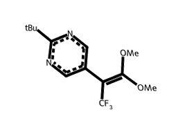 COC(OC)=C(c1cnc(C(C)(C)C)nc1)C(F)(F)F